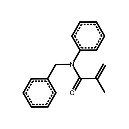 C=C(C)C(=O)N(Cc1ccccc1)c1ccccc1